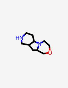 C1CC2C(CN1)CC1COCCN12